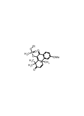 CCOP(C)(=O)OC1=C2C(C)(C)C(=O)C=C[C@@]2(C)c2cc(OC)ccc2C1=O